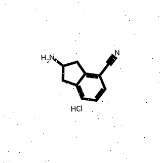 Cl.N#Cc1cccc2c1CC(N)C2